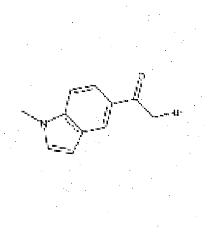 Cn1ccc2cc(C(=O)CBr)ccc21